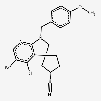 COc1ccc(CN2C[C@@]3(CC[C@H](C#N)C3)c3c2ncc(Br)c3Cl)cc1